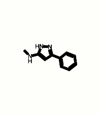 CNc1cc(-c2ccccc2)n[nH]1